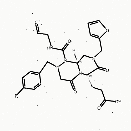 C=CCNC(=O)N1[C@H]2CN(Cc3ccco3)C(=O)[C@H](CCC(=O)O)N2C(=O)CN1Cc1ccc(F)cc1